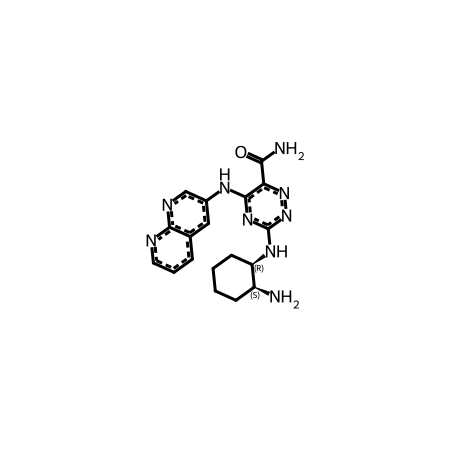 NC(=O)c1nnc(N[C@@H]2CCCC[C@@H]2N)nc1Nc1cnc2ncccc2c1